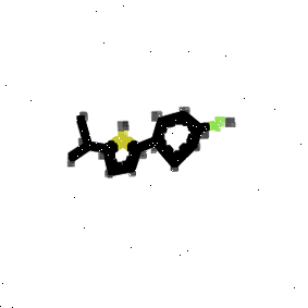 CC(C)c1ccc(-c2ccc(F)cc2)s1